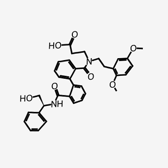 COc1ccc(OC)c(CCN(CCC(=O)O)C(=O)c2ccccc2-c2ccccc2C(=O)N[C@H](CO)c2ccccc2)c1